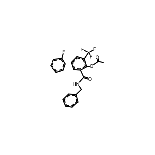 CC(=O)Oc1c(C(=O)NCc2ccccc2)cccc1C(F)(F)F.Fc1ccccc1